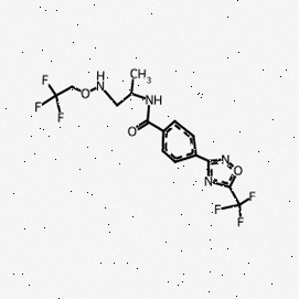 CC(CNOCC(F)(F)F)NC(=O)c1ccc(-c2noc(C(F)(F)F)n2)cc1